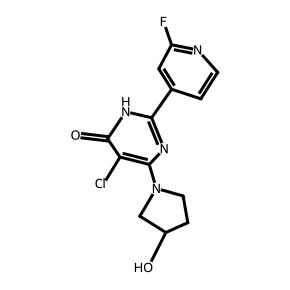 O=c1[nH]c(-c2ccnc(F)c2)nc(N2CCC(O)C2)c1Cl